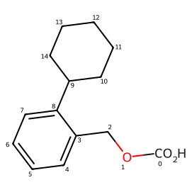 O=C(O)OCc1ccccc1C1CCCCC1